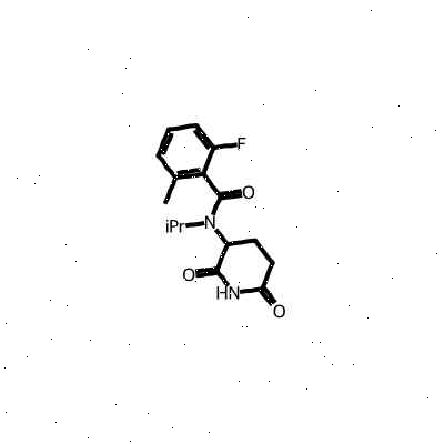 Cc1cccc(F)c1C(=O)N(C(C)C)C1CCC(=O)NC1=O